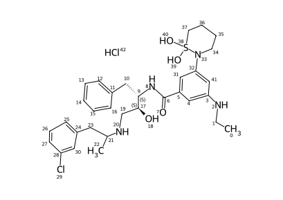 CCNc1cc(C(=O)N[C@@H](Cc2ccccc2)[C@@H](O)CNC(C)Cc2cccc(Cl)c2)cc(N2CCCCS2(O)O)c1.Cl